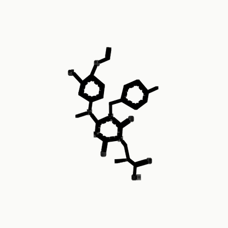 C=COc1ccc(N(C)c2nc(=O)n(C[C@H](C)C(=O)O)c(=O)n2Cc2ccc(C)cc2)cc1Cl